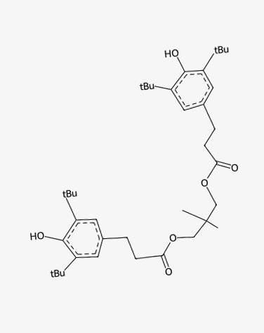 CC(C)(COC(=O)CCc1cc(C(C)(C)C)c(O)c(C(C)(C)C)c1)COC(=O)CCc1cc(C(C)(C)C)c(O)c(C(C)(C)C)c1